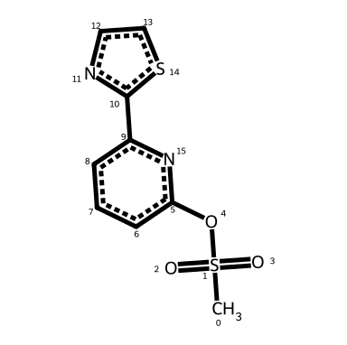 CS(=O)(=O)Oc1cccc(-c2nccs2)n1